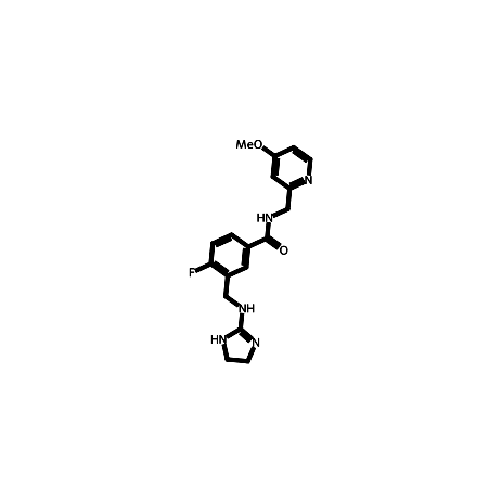 COc1ccnc(CNC(=O)c2ccc(F)c(CNC3=NCCN3)c2)c1